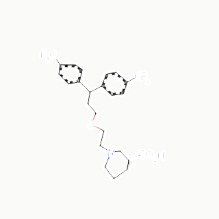 O=C(O)[C@@H]1CCCN(CCOCCC(c2ccc(C(F)(F)F)cc2)c2ccc(C(F)(F)F)cc2)C1